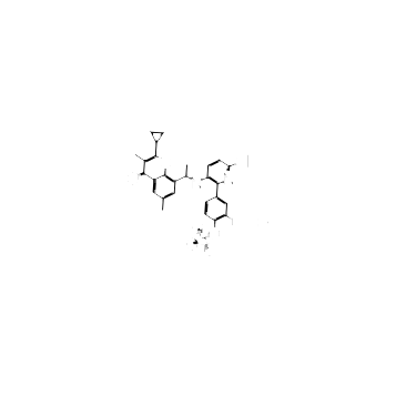 Cc1cc(C(C)Nc2ccc(Cl)nc2-c2ccc(OS(=O)(=O)C(F)(F)F)c(C=O)c2)c2oc(C3CC3)c(C)c(=O)c2c1